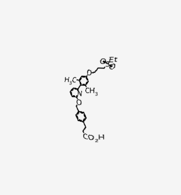 CCS(=O)(=O)CCCOc1cc(C)c(-c2cccc(OCc3ccc(CCC(=O)O)cc3)n2)c(C)c1